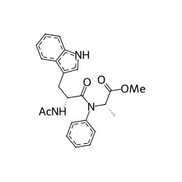 COC(=O)[C@H](C)N(C(=O)[C@@H](Cc1c[nH]c2ccccc12)NC(C)=O)c1ccccc1